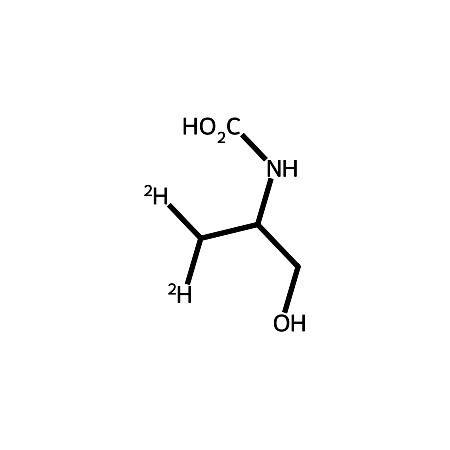 [2H]C([2H])C(CO)NC(=O)O